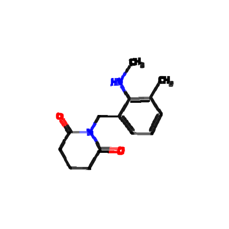 CNc1c(C)cccc1CN1C(=O)CCCC1=O